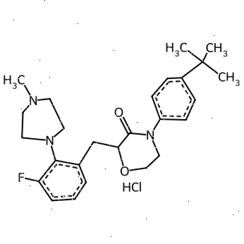 CN1CCN(c2c(F)cccc2CC2OCCN(c3ccc(C(C)(C)C)cc3)C2=O)CC1.Cl